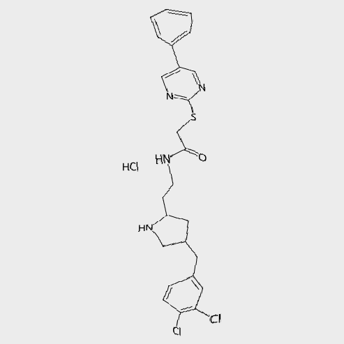 Cl.O=C(CSc1ncc(-c2ccccc2)cn1)NCCC1CC(Cc2ccc(Cl)c(Cl)c2)CN1